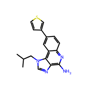 CC(C)Cn1cnc2c(N)nc3ccc(-c4ccsc4)cc3c21